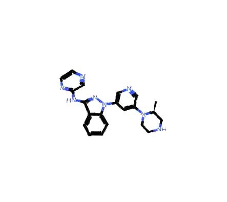 C[C@H]1CNCCN1c1cncc(-n2nc(Nc3cnccn3)c3ccccc32)c1